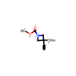 C#CC1(OC)CN(C(=O)OC(C)(C)C)C1